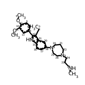 CCc1c(-c2ccc(OC)c(OC)c2)[nH]c2ccc(N3CCCN(CCNC)CC3)cc12